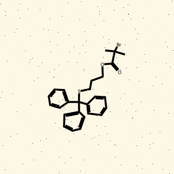 CC(C)(Br)C(=O)OCCCSC(c1ccccc1)(c1ccccc1)c1ccccc1